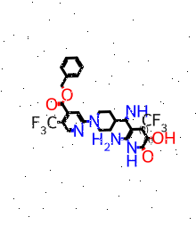 N=C(C1=C(N)NC(=O)[C@H](O)[C@@H]1C(F)(F)F)C1CCN(c2cc(C(=O)OCc3ccccc3)c(C(F)(F)F)cn2)CC1